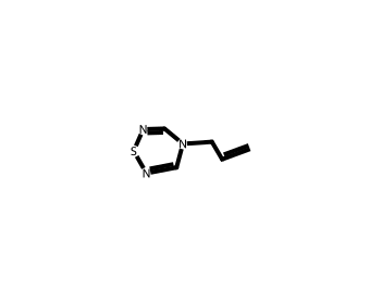 C=CCN1C=NSN=C1